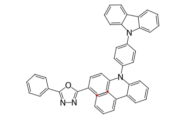 c1ccc(-c2nnc(-c3ccc(N(c4ccc(-n5c6ccccc6c6ccccc65)cc4)c4ccccc4-c4ccccc4)cc3)o2)cc1